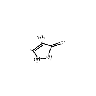 O=c1cc[nH][nH]1.P